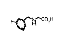 O=C(O)CNCc1cccc(I)c1